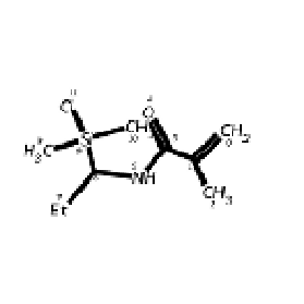 C=C(C)C(=O)NC(CC)[Si](C)(C)Cl